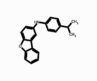 CC(C)c1ccc(Nc2ccc3oc4ccccc4c3c2)cc1